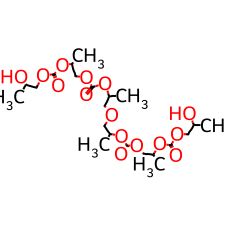 CC(O)COC(=O)OC(C)COC(=O)OC(C)COCC(C)OC(=O)OCC(C)OC(=O)OCC(C)O